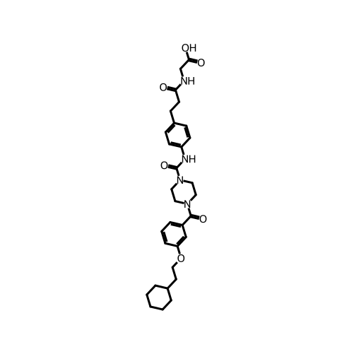 O=C(O)CNC(=O)CCc1ccc(NC(=O)N2CCN(C(=O)c3cccc(OCCC4CCCCC4)c3)CC2)cc1